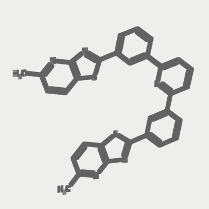 Cc1ccc2sc(-c3cccc(-c4cccc(-c5cccc(-c6nc7nc(C)ccc7s6)c5)n4)c3)nc2n1